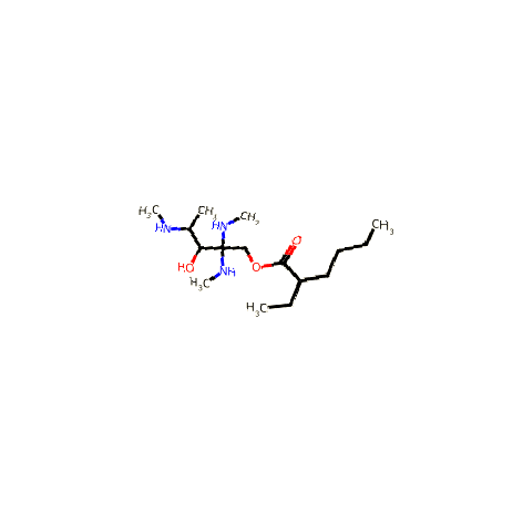 CCCCC(CC)C(=O)OCC(NC)(NC)C(O)C(C)NC